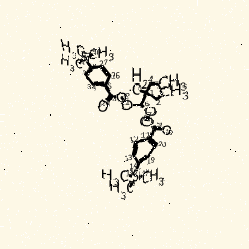 [CH2]C(CC)(CC)[C](OOC(=O)c1ccc([Si](C)(C)C)cc1)OOC(=O)c1ccc([Si](C)(C)C)cc1